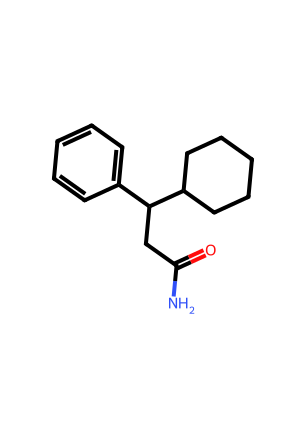 NC(=O)CC(c1ccccc1)C1CCCCC1